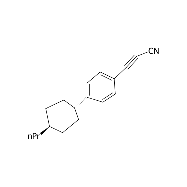 CCC[C@H]1CC[C@H](c2ccc(C#CC#N)cc2)CC1